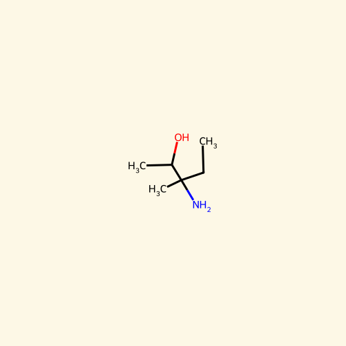 CCC(C)(N)C(C)O